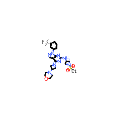 CCS(=O)(=O)N1CC(Nc2nc(N3CC(N4CCOCC4)C3)c3cnn(-c4cccc(C(F)(F)F)c4)c3n2)C1